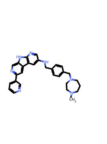 CN1CCCN(Cc2ccc(CNc3cnc4[nH]c5cnc(-c6cccnc6)cc5c4c3)cc2)CC1